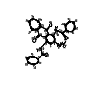 Nc1cc(NC(=O)c2ccccc2)c2c(c1NC(=O)c1ccccc1)C(=O)c1ccccc1C2=O